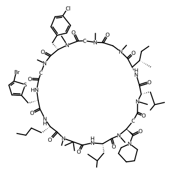 CCCC[C@@H]1NC(=O)[C@H](Cc2ccc(Br)s2)NC(=O)CN(C)C(=O)[C@H](Cc2ccc(Cl)cc2)N(C)C(=O)CN(C)C(=O)CN(C)C(=O)[C@H]([C@@H](C)CC)NC(=O)[C@H](CC(C)C)N(C)C(=O)C[C@@H](C(=O)N2CCCCC2)N(C)C(=O)[C@H](CC(C)C)NC(=O)C(C)(C)N(C)C1=O